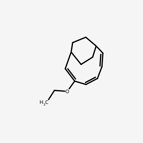 CCOC1=CC2CCC(C=CC=C1)CC2